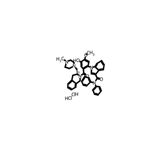 COc1cc(-n2cc(C(=O)N(c3ccccc3)c3ccccc3)c3ccccc32)c(C(=O)N2Cc3ccccc3C[C@H]2CN2CCN(C)CC2)cc1O.Cl.Cl